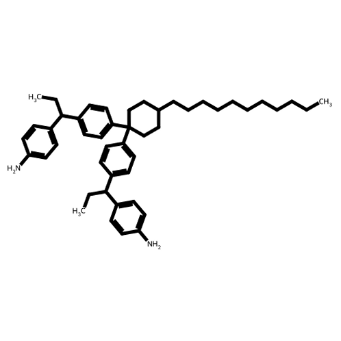 CCCCCCCCCCCC1CCC(c2ccc(C(CC)c3ccc(N)cc3)cc2)(c2ccc(C(CC)c3ccc(N)cc3)cc2)CC1